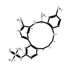 Cc1ccc2c(c1)[C@@H](C)Oc1cc(cnc1N)-c1cc(N=S(C)(C)=O)ccc1CCCO2